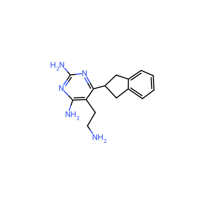 NCCc1c(N)nc(N)nc1C1Cc2ccccc2C1